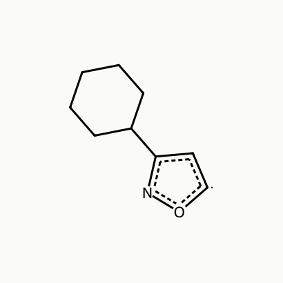 [c]1cc(C2CCCCC2)no1